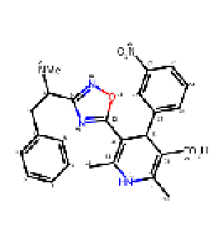 CNC(Cc1ccccc1)c1noc(C2=C(C)NC(C)=C(C(=O)O)C2c2cccc([N+](=O)[O-])c2)n1